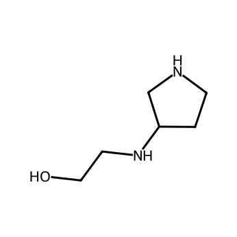 OCCNC1CCNC1